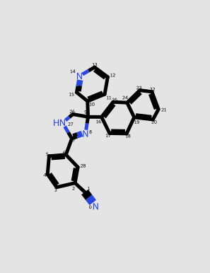 N#Cc1cccc(C2=NC(c3cccnc3)(c3ccc4ccccc4c3)CN2)c1